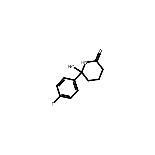 N#CC1(c2ccc(F)cc2)CCCC(=O)N1